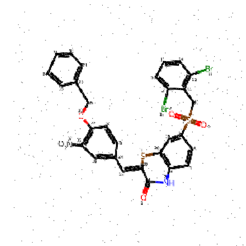 O=C1Nc2ccc(S(=O)(=O)Cc3c(Br)cccc3Br)cc2S/C1=C\c1ccc(OCc2ccccc2)c([N+](=O)[O-])c1